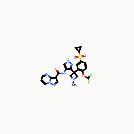 CN1CC(c2cc(S(=O)(=O)C3CC3)ccc2OC(F)F)(c2n[nH]cc2NC(=O)c2cnn3cccnc23)C1